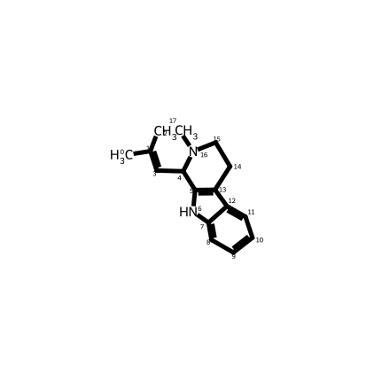 CC(C)=CC1c2[nH]c3ccccc3c2CCN1C